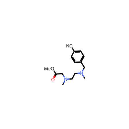 COC(=O)CN(C)CCN(C)Cc1ccc(C#N)cc1